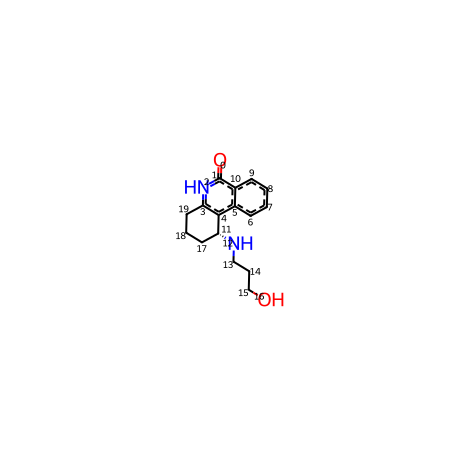 O=c1[nH]c2c(c3ccccc13)[C@H](NCCCO)CCC2